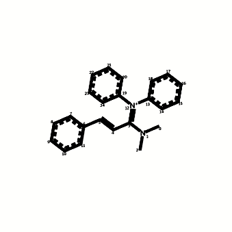 CN(C)C(C=Cc1ccccc1)=[N+](c1ccccc1)c1ccccc1